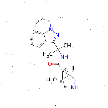 CC(C)(NC(=O)[C@@H]1[C@H]2CNC[C@]21C)c1nn2c3c(cccc13)CCC2